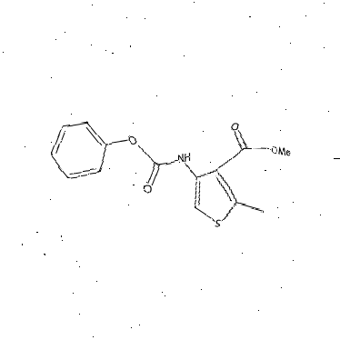 COC(=O)c1c(NC(=O)Oc2ccccc2)csc1C